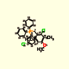 COc1cc(C)c(C[P+](c2ccccc2)(c2ccccc2)c2ccccc2)c(Cl)c1C.[Cl-]